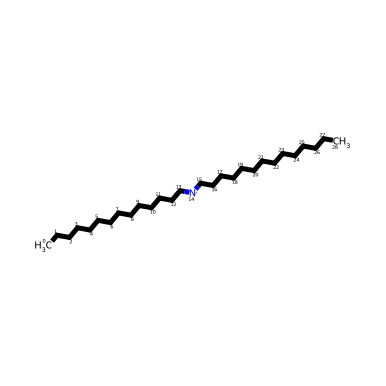 CCCCCCCCCCCCCC[N]CCCCCCCCCCCCCC